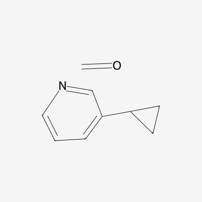 C=O.c1cncc(C2CC2)c1